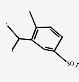 Cc1ccc(S(=O)(=O)O)cc1C(I)I